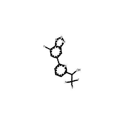 OC(c1cccc(-c2cc(F)c3nonc3c2)n1)C(F)(F)F